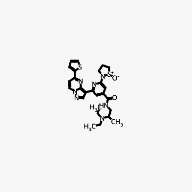 CCN(CC)C(C)CNC(=O)c1cc(-c2cnn3ccc(-c4cccs4)nc23)nc(N2CCC[S+]2[O-])c1